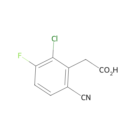 N#Cc1ccc(F)c(Cl)c1CC(=O)O